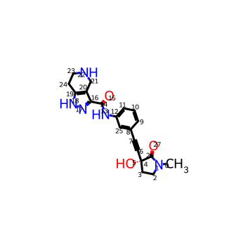 CN1CC[C@@](O)(C#Cc2cccc(NC(=O)c3n[nH]c4c3CNCC4)c2)C1=O